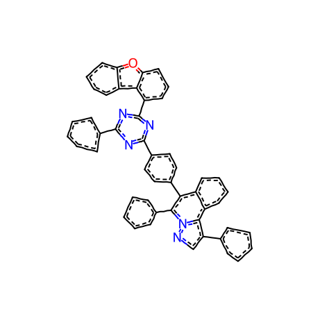 c1ccc(-c2nc(-c3ccc(-c4c(-c5ccccc5)n5ncc(-c6ccccc6)c5c5ccccc45)cc3)nc(-c3cccc4oc5ccccc5c34)n2)cc1